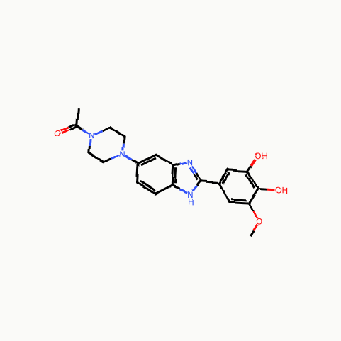 COc1cc(-c2nc3cc(N4CCN(C(C)=O)CC4)ccc3[nH]2)cc(O)c1O